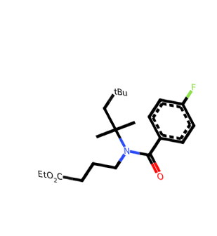 CCOC(=O)CCCN(C(=O)c1ccc(F)cc1)C(C)(C)CC(C)(C)C